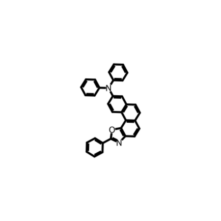 c1ccc(-c2nc3ccc4ccc5cc(N(c6ccccc6)c6ccccc6)ccc5c4c3o2)cc1